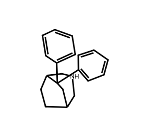 c1ccc(C2(c3ccccc3)CC3CCC2CNC3)cc1